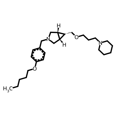 CCCCCOc1ccc(CN2C[C@@H]3[C@H](COCCCN4CCCCC4)[C@@H]3C2)cc1